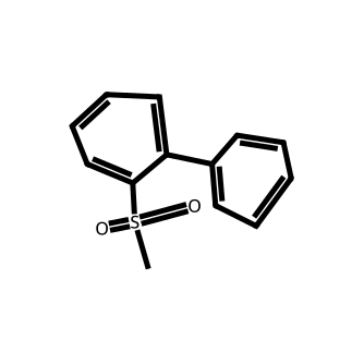 CS(=O)(=O)c1ccccc1-c1ccccc1